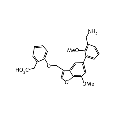 COc1c(CN)cccc1-c1cc(OC)c2occ(COc3ccccc3CC(=O)O)c2c1